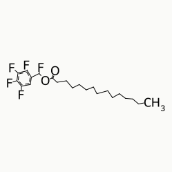 CCCCCCCCCCCCCCC(=O)OC(F)c1cc(F)c(F)c(F)c1F